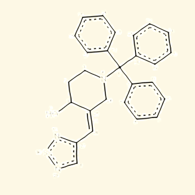 OC1CCN(C(c2ccccc2)(c2ccccc2)c2ccccc2)C/C1=C/c1cnsn1